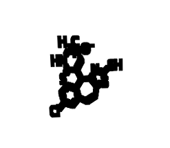 C[N+]1([O-])C=C(C2c3ccc(Cl)cc3C=Cc3sc(S)nc32)C(=S)NC1